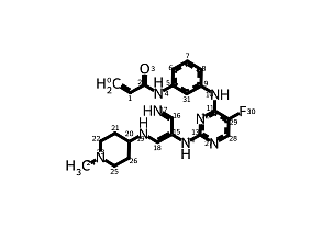 C=CC(=O)Nc1cccc(Nc2nc(N/C(C=N)=C/NC3CCN(C)CC3)ncc2F)c1